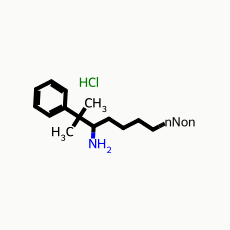 CCCCCCCCCCCCCC(N)C(C)(C)c1ccccc1.Cl